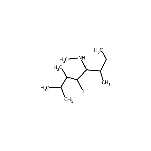 CCC(C)C(NC)C(I)C(C)C(C)C